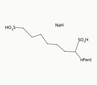 CCCCCC(CCCCCCS(=O)(=O)O)S(=O)(=O)O.[NaH]